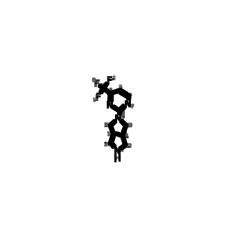 FC(F)(F)c1ccnc(N2CC3CNCC3C2)n1